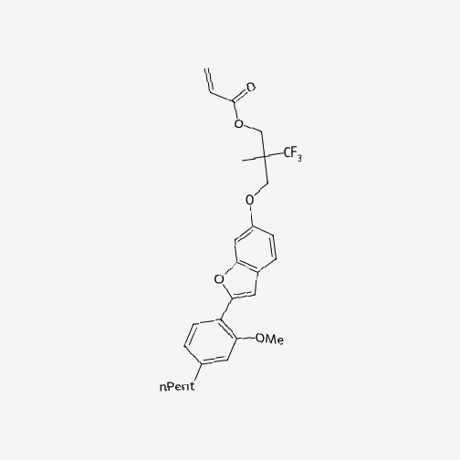 C=CC(=O)OCC(C)(COc1ccc2cc(-c3ccc(CCCCC)cc3OC)oc2c1)C(F)(F)F